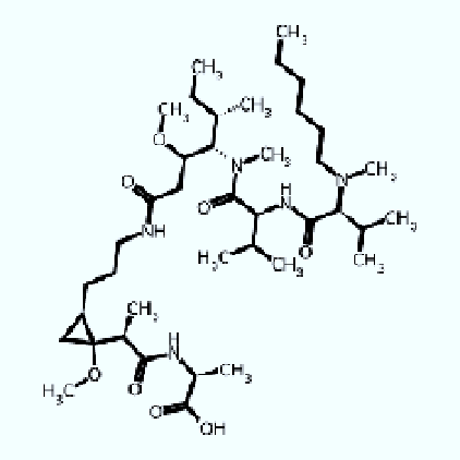 CCCCCCN(C)[C@H](C(=O)N[C@H](C(=O)N(C)[C@@H]([C@@H](C)CC)[C@@H](CC(=O)NCCC[C@@H]1C[C@@]1(OC)[C@@H](C)C(=O)N[C@@H](C)C(=O)O)OC)C(C)C)C(C)C